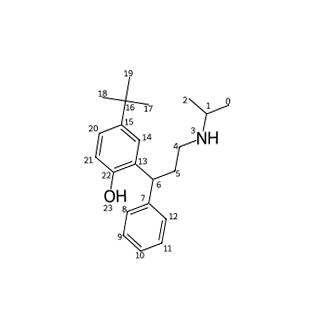 CC(C)NCCC(c1ccccc1)c1cc(C(C)(C)C)ccc1O